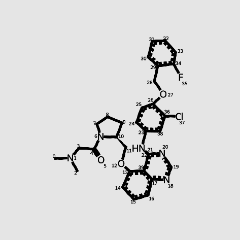 CN(C)CC(=O)N1CCC[C@H]1COc1cccc2ncnc(Nc3ccc(OCc4ccccc4F)c(Cl)c3)c12